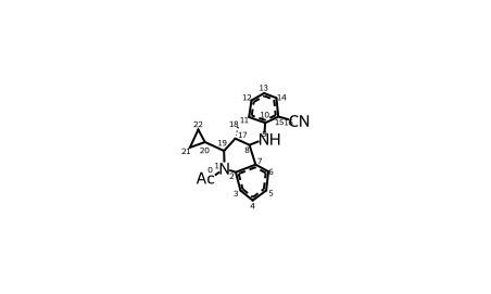 CC(=O)N1c2ccccc2C(Nc2ccccc2C#N)[C@@H](C)C1C1CC1